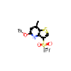 CCOc1cc(C)c2scc(S(=O)(=O)C(C)C)c2n1